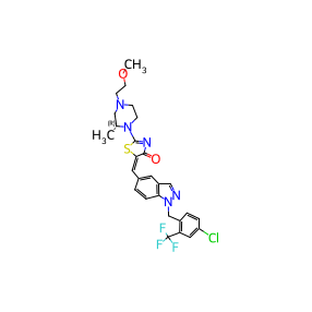 COCCN1CCN(C2=NC(=O)C(=Cc3ccc4c(cnn4Cc4ccc(Cl)cc4C(F)(F)F)c3)S2)[C@H](C)C1